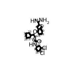 N=C(N)c1cc2c(OC(COC(=O)Nc3ccc(Cl)c(Cl)c3)c3ccccc3)cccc2s1